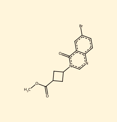 COC(=O)C1CC(n2cnc3ccc(Br)cc3c2=O)C1